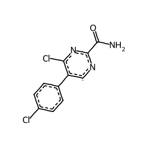 NC(=O)c1n[c]c(-c2ccc(Cl)cc2)c(Cl)n1